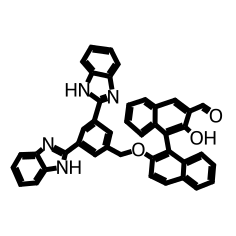 O=Cc1cc2ccccc2c(-c2c(OCc3cc(-c4nc5ccccc5[nH]4)cc(-c4nc5ccccc5[nH]4)c3)ccc3ccccc23)c1O